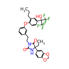 CCCc1cc(C(O)(C(F)(F)F)C(F)(F)F)ccc1Oc1cccc(CCN2C(=O)NC(CC)(c3ccc4c(c3)OCO4)C2=O)c1